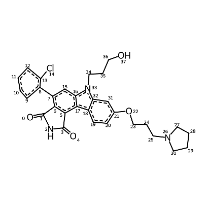 O=C1NC(=O)c2c1c(-c1ccccc1Cl)cc1c2c2ccc(OCCCN3CCCC3)cc2n1CCCO